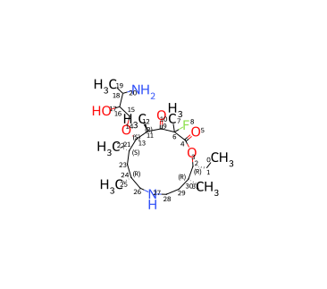 CC[C@H]1OC(=O)C(C)(F)C(=O)[C@H](C)[C@@H](OCC(O)C(C)N)[C@@H](C)C[C@@H](C)CNCC[C@H]1C